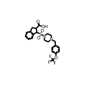 O=C(O)C1Cc2ccccc2C1S(=O)(=O)N1CCN(Cc2ccc(OC(F)(F)F)cc2)CC1